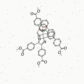 COC(=O)c1ccc(C2=NC(c3cc(-c4ccc(C(=O)OC)cc4)ccc3-c3ccccc3)(C3(c4ccccc4-c4ccccc4)N=C(c4ccc(C(=O)OC)cc4)C(c4ccc(C(=O)OC)cc4)=N3)N=C2)cc1